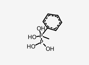 CP(O)(O)(c1ccccc1)P(O)O